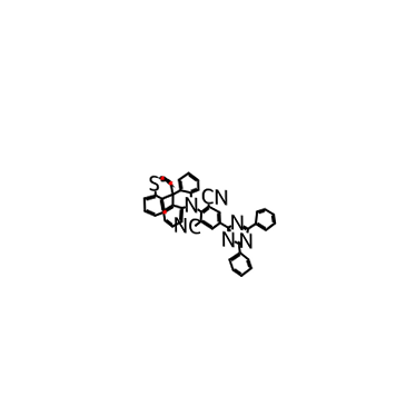 N#Cc1cc(-c2nc(-c3ccccc3)nc(-c3ccccc3)n2)cc(C#N)c1N1c2ccccc2C2(c3ccccc3Sc3ccccc32)c2ccccc21